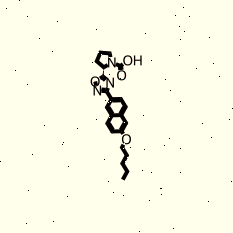 CCCCCOc1ccc2cc(-c3noc([C@@H]4CCCN4C(=O)O)n3)ccc2c1